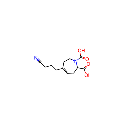 N#CCCCC1=CCC(C(=O)O)N(C(=O)O)CC1